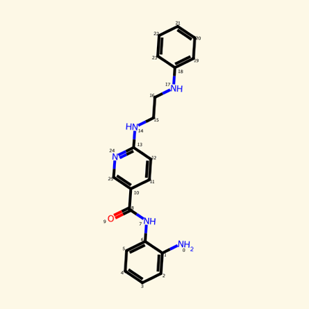 Nc1ccccc1NC(=O)c1ccc(NCCNc2ccccc2)nc1